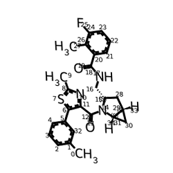 Cc1cccc(-c2sc(C)nc2C(=O)N2[C@H](CNC(=O)c3cccc(F)c3C)C[C@@H]3C[C@@H]32)c1